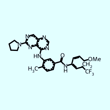 C=C(/C=C(\C=C/COC)NC(=O)c1ccc(C)c(Nc2ncnc3cnc(N4CCCC4)nc23)c1)C(F)(F)F